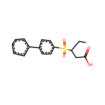 CCC(CC(=O)O)S(=O)(=O)c1ccc(-c2ccccc2)cc1